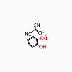 C=C(C#N)C#N.Oc1ccccc1O